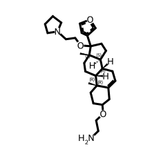 C[C@]12CCC(OCCN)CC1=CC[C@@H]1[C@H]2CC[C@@]2(C)[C@H]1CCC2(OCCN1CCCC1)c1ccoc1